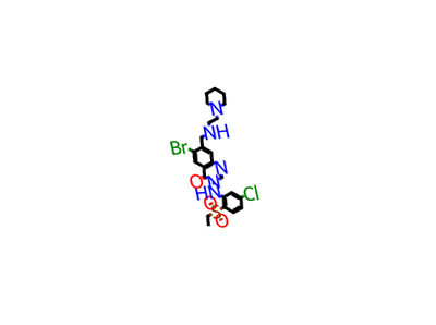 CCS(=O)(=O)c1ccc(Cl)cc1Nn1cnc2cc(CNCCN3CCCCC3)c(Br)cc2c1=O